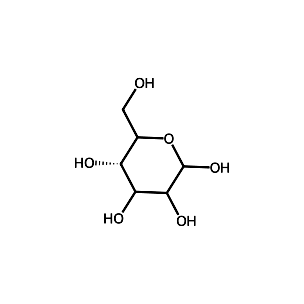 OCC1OC(O)C(O)C(O)[C@@H]1O